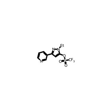 CCn1nc(-c2cccnc2)cc1OS(=O)(=O)C(F)(F)F